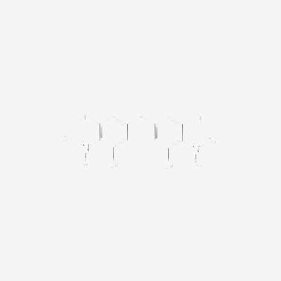 CC(=O)N(C(C)=O)c1c(Br)cc(Cc2cc(Br)c(N(C(C)=O)C(C)=O)c(Br)c2)cc1Br